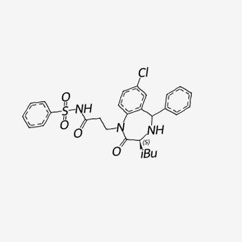 CCC(C)[C@@H]1NC(c2ccccc2)c2cc(Cl)ccc2N(CCC(=O)NS(=O)(=O)c2ccccc2)C1=O